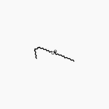 CCCCC/C=C\C/C=C\CCCCCCCCOC(=O)CCCCCCCCCCCCC